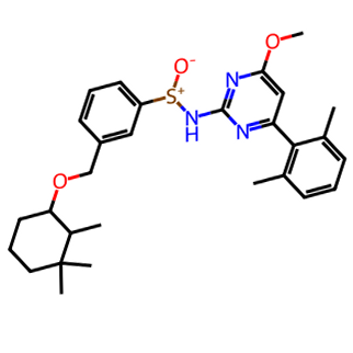 COc1cc(-c2c(C)cccc2C)nc(N[S+]([O-])c2cccc(COC3CCCC(C)(C)C3C)c2)n1